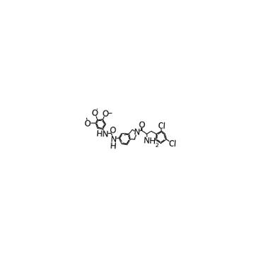 COc1cc(NC(=O)Nc2ccc3c(c2)CN(C(=O)C(N)Cc2ccc(Cl)cc2Cl)C3)cc(OC)c1OC